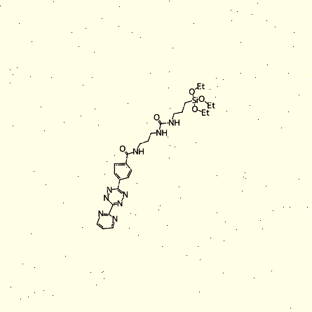 CCO[Si](CCCNC(=O)NCCCNC(=O)c1ccc(-c2nnc(-c3ncccn3)nn2)cc1)(OCC)OCC